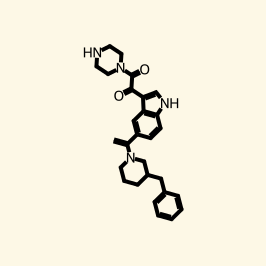 C=C(c1ccc2[nH]cc(C(=O)C(=O)N3CCNCC3)c2c1)N1CCCC(Cc2ccccc2)C1